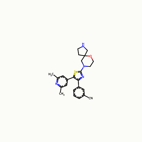 Cc1cc(-c2sc(N3CCOC4(CCNC4)C3)nc2-c2cccc(C#N)c2)cc(C)n1